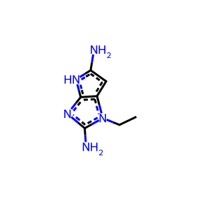 CCn1c(N)nc2[nH]c(N)cc21